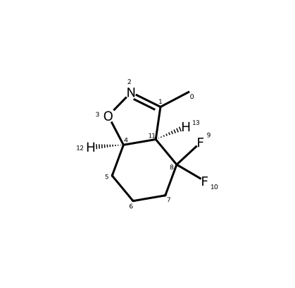 CC1=NO[C@@H]2CCCC(F)(F)[C@H]12